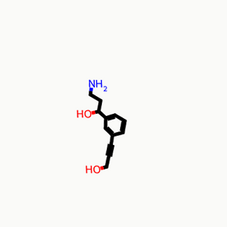 NCCC(O)c1cccc(C#CCO)c1